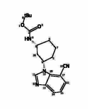 CC(C)(C)OC(=O)N[C@@H]1CCC[C@H](n2cnc3cccc(C#N)c32)C1